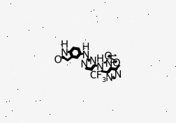 Cc1ncnc(CNc2nc(Nc3ccc4c(c3)CC(=O)N4)ncc2C(F)(F)F)c1N(C)S(C)(=O)=O